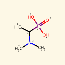 CC(N(C)C)P(=O)(O)O